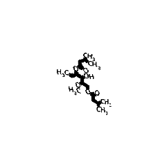 CCC(OC(=O)CC(C)C)C(O)C(COC(=O)CC(C)C)OC